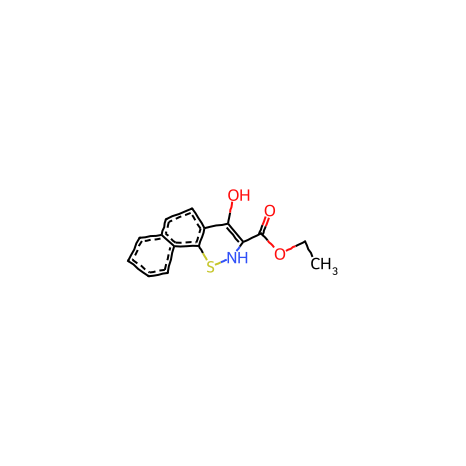 CCOC(=O)C1=C(O)c2ccc3ccccc3c2SN1